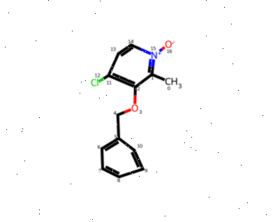 Cc1c(OCc2ccccc2)c(Cl)cc[n+]1[O-]